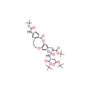 CC(C)(C)OC(=O)C[C@H](NS(=O)(=O)N(Cc1ccc2c(c1)OC(=O)c1ccc(NC(=O)OC(C)(C)C)cc1CCCO2)C(=O)OC(C)(C)C)C(=O)OC(C)(C)C